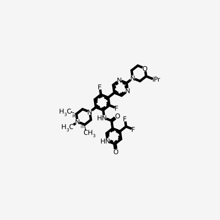 CC(C)C1CN(c2ncc(-c3c(F)cc(N4C[C@@H](C)N(C)[C@@H](C)C4)c(NC(=O)c4c[nH]c(=O)cc4C(F)F)c3F)cn2)CCO1